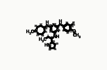 CCC(Nc1nc(Nc2ccc(OC)c(F)c2)nc(NC2CCCN(C)CC2)n1)C1CCCN1